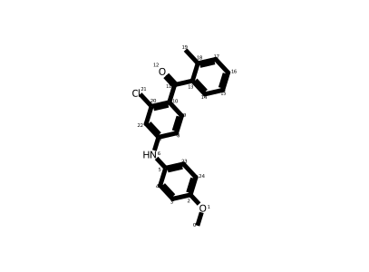 COc1ccc(Nc2ccc(C(=O)c3ccccc3C)c(Cl)c2)cc1